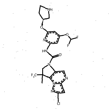 CC1(C(F)(F)F)CN(C(=O)Nc2cc(OC(F)F)cc(O[C@H]3CCNC3)n2)c2cnc3cc(Cl)nn3c21